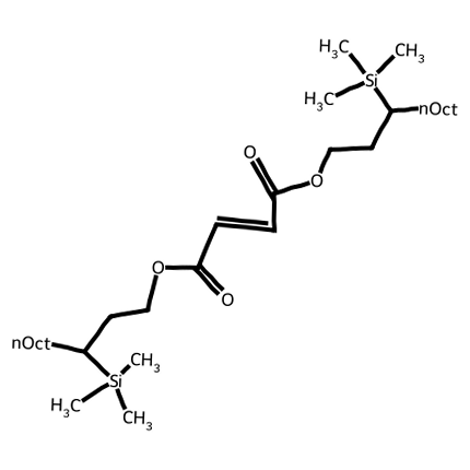 CCCCCCCCC(CCOC(=O)/C=C/C(=O)OCCC(CCCCCCCC)[Si](C)(C)C)[Si](C)(C)C